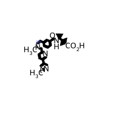 CN(/C=C\c1cccc(C(=O)NC2(C34CC3(C(=O)O)C4)CC2)c1)Cc1ccc(-c2cnn(C)c2)cn1